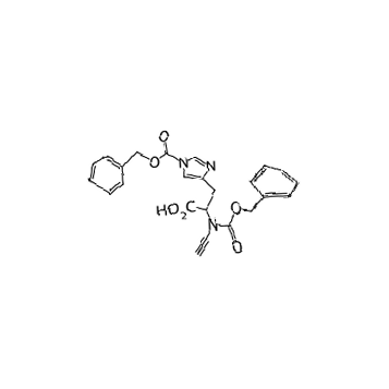 C#CN(C(=O)OCc1ccccc1)C(Cc1cn(C(=O)OCc2ccccc2)cn1)C(=O)O